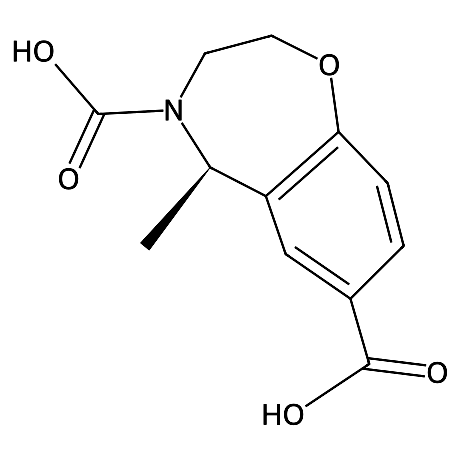 C[C@@H]1c2cc(C(=O)O)ccc2OCCN1C(=O)O